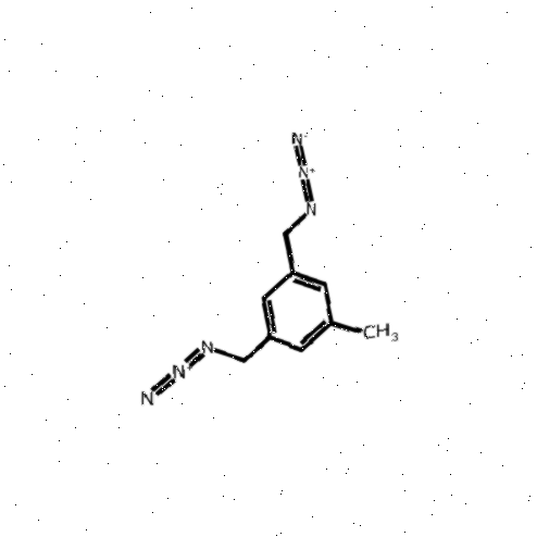 Cc1cc(CN=[N+]=[N-])cc(CN=[N+]=[N-])c1